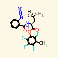 Cc1c(F)c(F)c(F)c(OC(=O)[C@H](CC(C)C)NC(=O)c2ccccc2N=[N+]=[N-])c1F